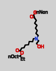 CCCCCCCCCOC1OC1CCCCCCCN(CCO)CCCCCCCC(=O)OC(CC)CCCCCCCC